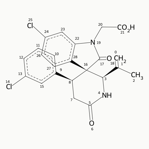 C=C(C)[C@H]1NC(=O)C[C@@H](c2cccc(Cl)c2)[C@]12C(=O)N(CC(=O)O)c1cc(Cl)ccc12